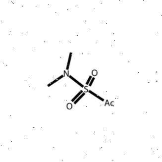 CC(=O)S(=O)(=O)N(C)C